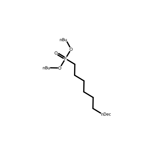 CCCCCCCCCCCCCCCCP(=O)(OCCCC)OCCCC